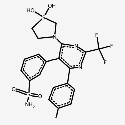 NS(=O)(=O)c1cccc(-c2c(-c3ccc(F)cc3)nc(C(F)(F)F)nc2N2CCS(O)(O)C2)c1